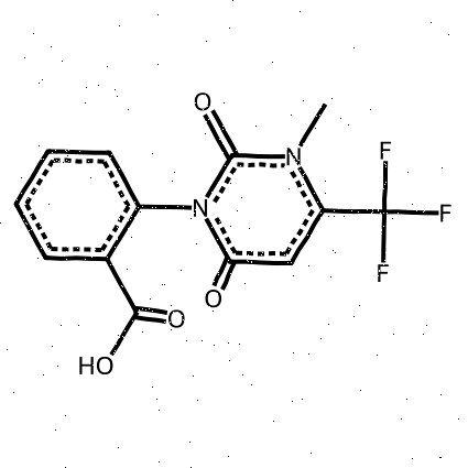 Cn1c(C(F)(F)F)cc(=O)n(-c2ccccc2C(=O)O)c1=O